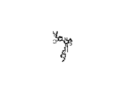 CCN1CCN(CCCNc2cc(-c3ccc(CN(CC)CC)c(Cl)c3)nc3ccsc23)CC1